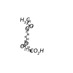 CC=CC(=O)OCCCCCCOC(=O)CCCC(=O)O